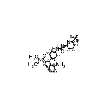 CCN(C)C(=O)c1cn2ncnc(N)c2c1-c1ccc(NC(=O)Nc2cccc(C(F)(F)F)n2)cc1